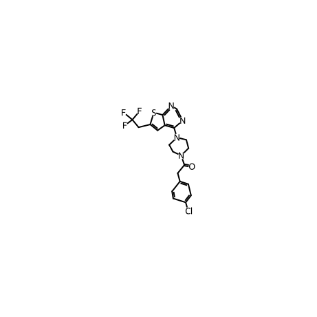 O=C(Cc1ccc(Cl)cc1)N1CCN(c2ncnc3sc(CC(F)(F)F)cc23)CC1